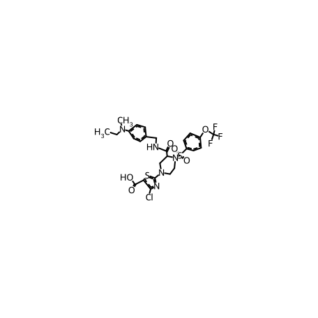 CCN(C)c1ccc(CNC(=O)C2CN(c3nc(Cl)c(C(=O)O)s3)CCN2S(=O)(=O)c2ccc(OC(F)(F)F)cc2)cc1